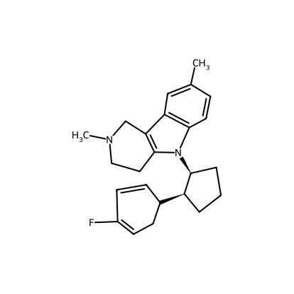 Cc1ccc2c(c1)c1c(n2[C@H]2CCC[C@H]2C2C=CC(F)=CC2)CCN(C)C1